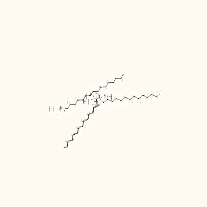 CCCCCCCCCCCCCCCCN.CCCCCCCCCCCCCCP(O)(O)(O)CCCCCCCCCCCCCC